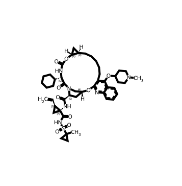 C=C[C@@H]1C[C@]1(NC(=O)[C@@H]1C[C@@H]2CN1C(=O)[C@H](C1CCCCC1)NC(=O)O[C@@H]1C[C@H]1CCCCCc1c(nc3ccccc3c1OC1CCN(C)CC1)O2)C(=O)NS(=O)(=O)C1(C)CC1